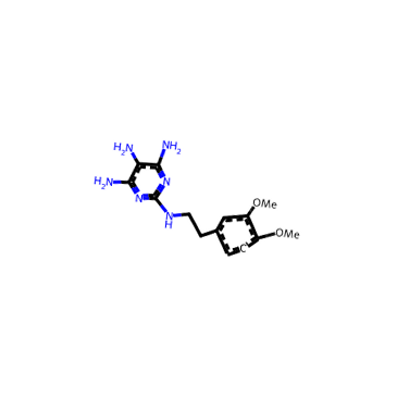 COc1ccc(CCNc2nc(N)c(N)c(N)n2)cc1OC